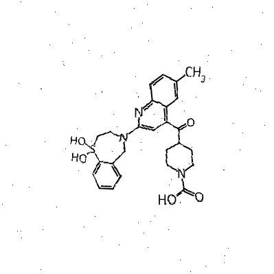 Cc1ccc2nc(N3CCS(O)(O)c4ccccc4C3)cc(C(=O)C3CCN(C(=O)O)CC3)c2c1